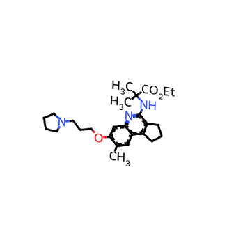 CCOC(=O)C(C)(C)Nc1nc2cc(OCCCN3CCCC3)c(C)cc2c2c1CCC2